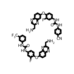 N#Cc1ccc(NC(=O)Nc2ccc(Oc3ccc4ncc(CN)nc4c3)c(F)c2)cc1.NCc1cnc2ccc(Oc3ccc(NC(=O)Nc4cccc(C(F)(F)F)c4)cc3F)cc2n1